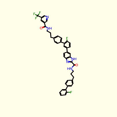 O=C(NCCCc1ccc(-c2cc(-c3ccc4nc(C(=O)NCCCc5ccc(-c6ccccc6F)cc5)[nH]c4c3)ccc2F)cc1)c1cncc(C(F)(F)F)c1